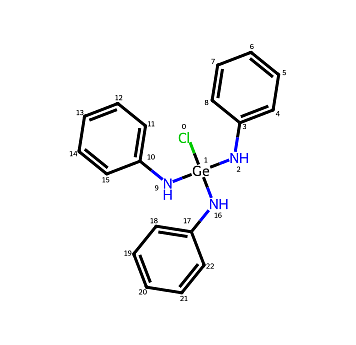 [Cl][Ge]([NH]c1ccccc1)([NH]c1ccccc1)[NH]c1ccccc1